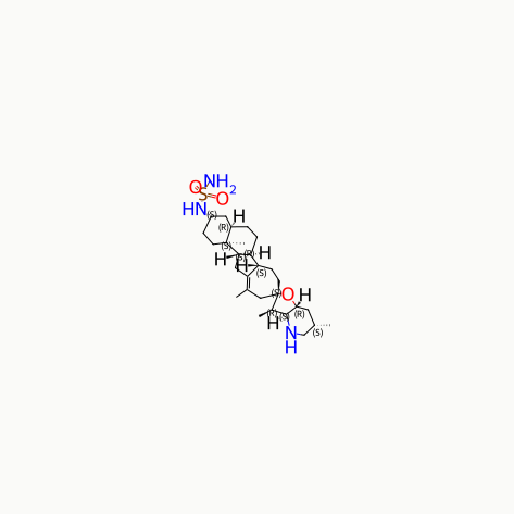 CC1=C2C[C@H]3[C@@H](CC[C@@H]4C[C@@H](NS(N)(=O)=O)CC[C@@]43C)[C@@H]2CC[C@@]2(C1)O[C@@H]1C[C@H](C)CN[C@H]1[C@H]2C